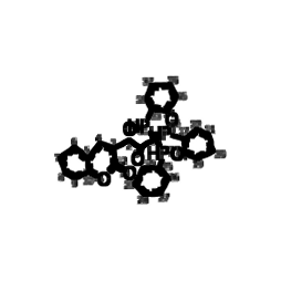 O=C(Cc1cc2ccccc2oc1=O)C([PH](=O)c1ccccc1)([PH](=O)c1ccccc1)[PH](=O)c1ccccc1